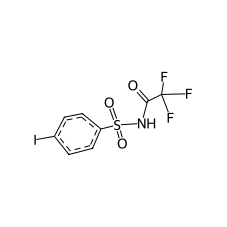 O=C(NS(=O)(=O)c1ccc(I)cc1)C(F)(F)F